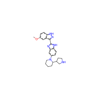 COc1ccc2[nH]nc(-c3nc4cc(N5CCCCC5C5CCNC5)ccc4[nH]3)c2c1